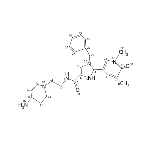 Cc1cc(C2NC(C(=O)NCCN3CCC(N)CC3)=CN2Cc2ccccc2)cn(C)c1=O